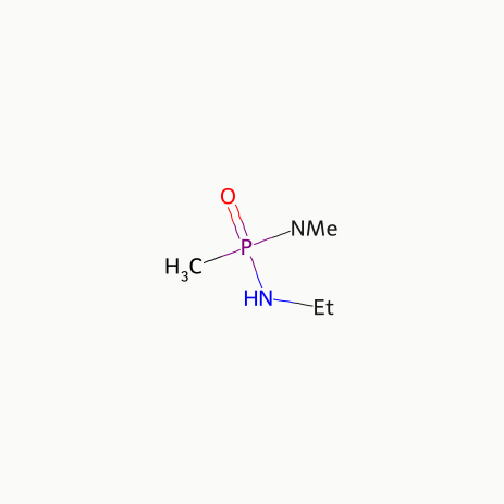 CCNP(C)(=O)NC